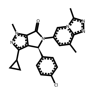 Cc1cc(N2C(=O)c3c(c(C4CC4)nn3C)[C@@H]2c2ccc(Cl)cc2)cn2c(C)nnc12